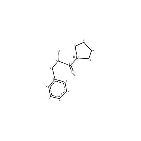 CC(Cc1ccccc1)C(=O)N1CCCC1